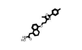 Cc1ccc(-c2nc(CCOc3cccc4c3CCC=C4CC(=O)NO)c(C)o2)cc1